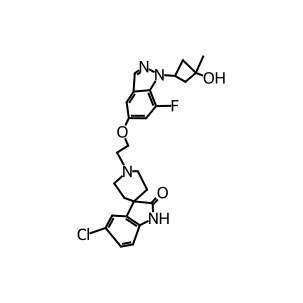 CC1(O)CC(n2ncc3cc(OCCN4CCC5(CC4)C(=O)Nc4ccc(Cl)cc45)cc(F)c32)C1